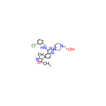 Cc1noc(C)c1-c1ccc2nc(N3CCCN(CCO)CC3)nc(NCc3cccc(Cl)c3)c2c1